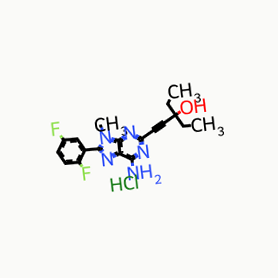 CCC(O)(C#Cc1nc(N)c2nc(-c3cc(F)ccc3F)n(C)c2n1)CC.Cl